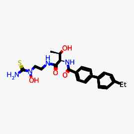 CCc1ccc(-c2ccc(C(=O)N[C@H](C(=O)NCCN(O)C(N)=S)[C@@H](C)O)cc2)cc1